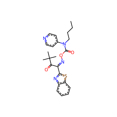 CCCCN(C(=O)O/N=C(\C(=O)C(C)(C)C)c1nc2ccccc2s1)c1ccncc1